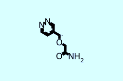 NC(=O)CO[CH]c1ccnnc1